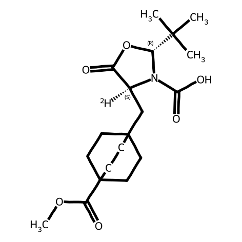 [2H][C@]1(CC23CCC(C(=O)OC)(CC2)CC3)C(=O)O[C@H](C(C)(C)C)N1C(=O)O